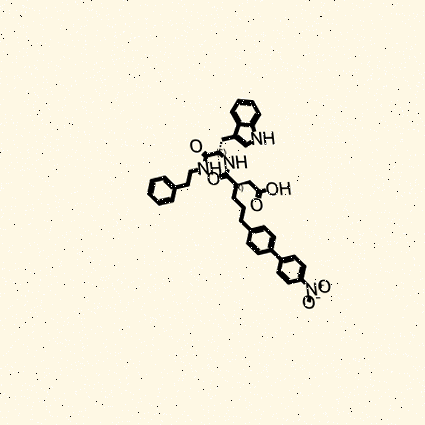 O=C(O)C[C@@H](CCCc1ccc(-c2ccc([N+](=O)[O-])cc2)cc1)C(=O)N[C@@H](Cc1c[nH]c2ccccc12)C(=O)NCCc1ccccc1